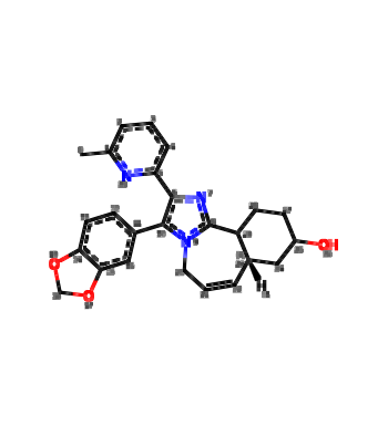 Cc1cccc(-c2nc3n(c2-c2ccc4c(c2)OCO4)CC=C[C@H]2CC(O)CCC32)n1